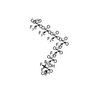 O=S(=O)(O)C(F)(F)F.O=S(=O)([O-])C(F)(F)F.O=S(=O)([O-])C(F)(F)F.O=S(=O)([O-])C(F)(F)F.O=S(=O)([O-])C(F)(F)F.O=S(=O)([O-])C(F)(F)F.O=S(=O)([O-])C(F)(F)F.[Gd+3].[Gd+3]